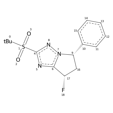 CC(C)(C)S(=O)(=O)c1nc2n(n1)[C@H](c1ccccc1)C[C@@H]2F